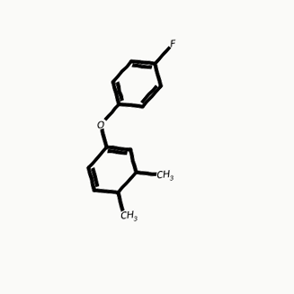 CC1C=CC(Oc2ccc(F)cc2)=CC1C